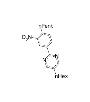 CCCCCCc1cnc(-c2ccc(CCCCC)c([N+](=O)[O-])c2)nc1